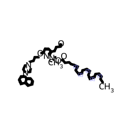 CCC/C=C\C/C=C\C/C=C\C/C=C\C/C=C\CCCC(=O)OCN(C)c1nc(OCCCCN2CCN(c3cccc4ccccc34)CC2)ccc1CCC=O